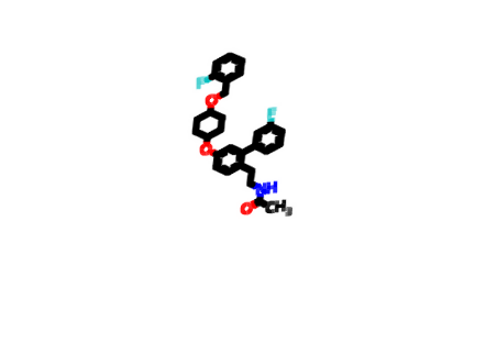 CC(=O)NCCc1ccc(OC2CCC(OCc3ccccc3F)CC2)cc1-c1cccc(F)c1